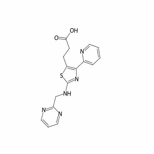 O=C(O)CCc1sc(NCc2ncccn2)nc1-c1ccccn1